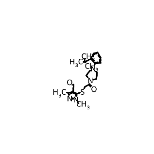 Cc1nn(C)c(SCC(=O)N2CCN(c3ccccc3C(C)(C)C)CC2)c1C=O